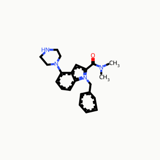 CN(C)C(=O)c1cc2c(N3CCNCC3)cccc2n1Cc1ccccc1